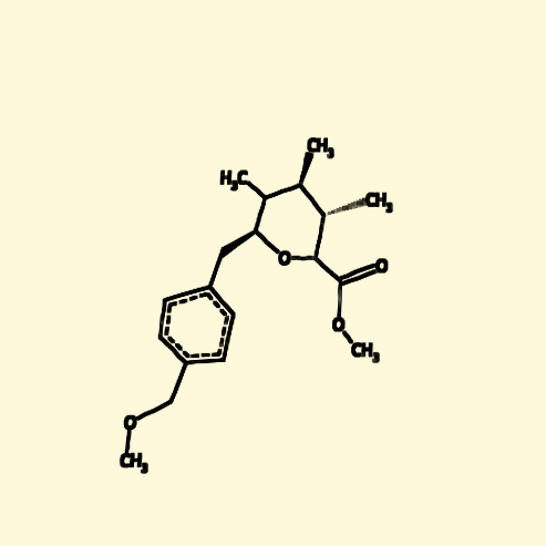 COCc1ccc(C[C@@H]2OC(C(=O)OC)[C@@H](C)[C@H](C)C2C)cc1